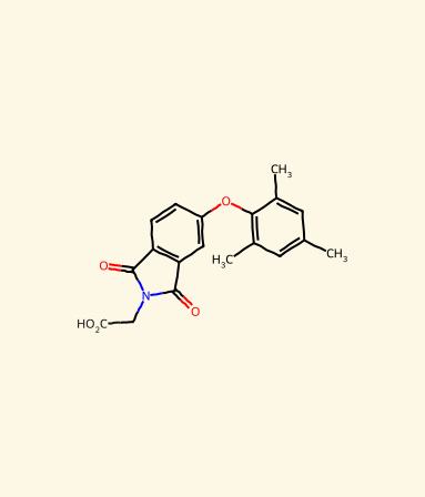 Cc1cc(C)c(Oc2ccc3c(c2)C(=O)N(CC(=O)O)C3=O)c(C)c1